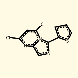 Clc1cc(Cl)n2c(-c3cccs3)ncc2n1